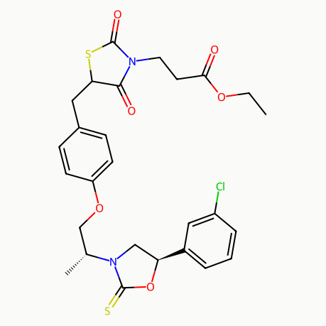 CCOC(=O)CCN1C(=O)SC(Cc2ccc(OC[C@@H](C)N3C[C@@H](c4cccc(Cl)c4)OC3=S)cc2)C1=O